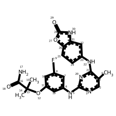 Cc1cnc(Nc2cc(F)cc(OC(C)(C)C(N)=O)c2)nc1Nc1ccc2oc(=O)[nH]c2c1